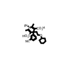 CC1=C(C(=O)O)C(CCOC2CCCCC2)(c2cccc(C#N)c2)C(C(=O)O)=C(C)N1C(C)C